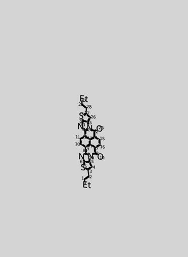 CC/C=C/c1cc2c(nc3c4ccc5c6c(ccc(c(=O)n23)c46)c(=O)n2c3cc(/C=C/CC)sc3nc52)s1